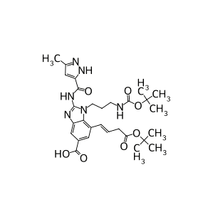 Cc1cc(C(=O)Nc2nc3cc(C(=O)O)cc(C=CCC(=O)OC(C)(C)C)c3n2CCCNC(=O)OC(C)(C)C)[nH]n1